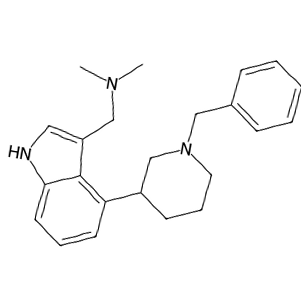 CN(C)Cc1c[nH]c2cccc(C3CCCN(Cc4ccccc4)C3)c12